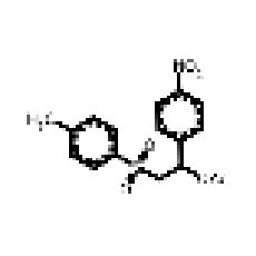 CC(=O)OC(CS(=O)(=O)c1ccc(C)cc1)c1ccc([N+](=O)[O-])cc1